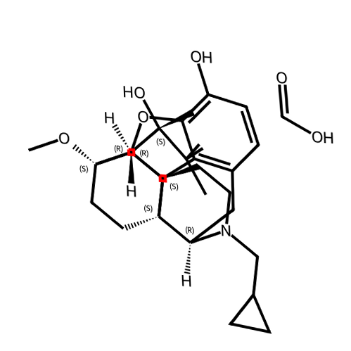 CO[C@@]12CC[C@@]3(C[C@@H]1[C@](C)(O)C(C)(C)C)[C@H]1Cc4ccc(O)c5c4[C@@]3(CCN1CC1CC1)[C@H]2O5.O=CO